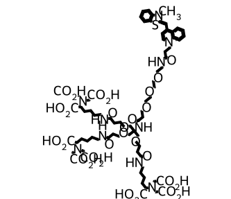 CN1/C(=C/c2cc[n+](CCC(=O)NCCOCCOCCOCCC(=O)NC(COCCC(=O)NCCCCC(C(=O)O)N(CC(=O)O)CC(=O)O)(COCCC(=O)NCCCCC(C(=O)O)N(CC(=O)O)CC(=O)O)COCCC(=O)NCCCCC(C(=O)O)N(CC(=O)O)CC(=O)O)c3ccccc23)Sc2ccccc21